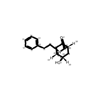 O=C1[C@@H]2CC[C@@H]([C@@H](O)C2)N1CCc1ccccc1